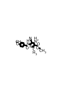 CCOC(=O)c1c(C)nc(NC(=O)c2ccc(OC)cc2)c(C#N)c1N